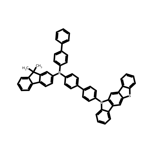 CC1(C)c2ccccc2-c2ccc(N(c3ccc(-c4ccccc4)cc3)c3ccc(-c4ccc(-n5c6ccccc6c6cc7sc8ccccc8c7cc65)cc4)cc3)cc21